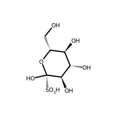 O=S(=O)(O)[C@]1(O)O[C@H](CO)[C@@H](O)[C@H](O)[C@H]1O